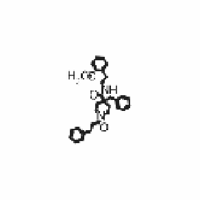 COc1ccccc1CCNC(=O)C1(Cc2ccccc2)CCN(C(=O)CCc2ccccc2)CC1